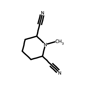 CN1C(C#N)CCCC1C#N